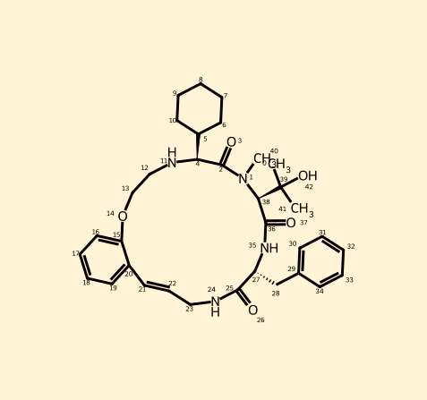 CN1C(=O)[C@H](C2CCCCC2)NCCOc2ccccc2/C=C/CNC(=O)[C@@H](Cc2ccccc2)NC(=O)[C@@H]1C(C)(C)O